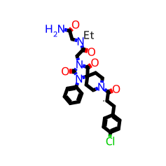 CCN(CC(N)=O)C(=O)CN1C(=O)N(c2ccccc2)C2(CCN(C(=O)[CH]Cc3ccc(Cl)cc3)CC2)C1=O